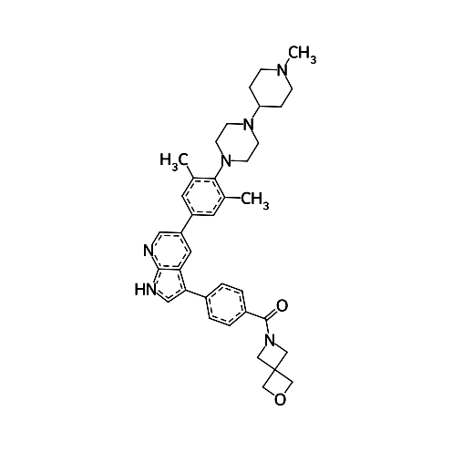 Cc1cc(-c2cnc3[nH]cc(-c4ccc(C(=O)N5CC6(COC6)C5)cc4)c3c2)cc(C)c1N1CCN(C2CCN(C)CC2)CC1